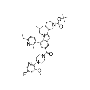 CCc1ccc(-c2cc(C(=O)N3CCN(c4ncc(F)cc4OC)CC3)cc3cc(C4=CCCN(C(=O)OC(C)(C)C)C4)n(CC(C)C)c23)c(C)n1